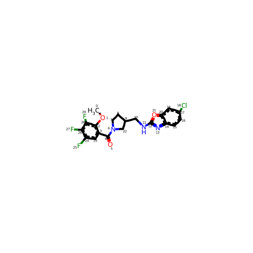 COc1c(C(=O)N2CCC(CNc3nc4ccc(Cl)cc4o3)C2)cc(F)c(F)c1F